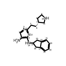 Nc1cnc(CC[C@@H]2CCNC2)nc1NC1Cc2ccccc2C1